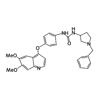 COc1cc2nccc(Oc3ccc(NC(=O)NC4CCN(Cc5ccccc5)C4)cc3)c2cc1OC